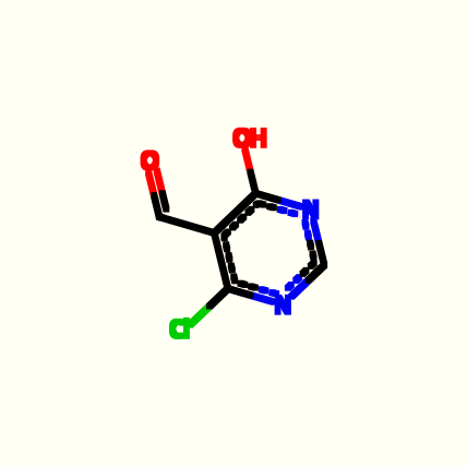 O=Cc1c(O)ncnc1Cl